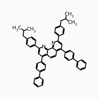 CC(C)Cc1ccc(-c2cc(-c3ccc(-c4ccccc4)cc3)c3ccc4c(-c5ccc(-c6ccccc6)cc5)cc(-c5ccc(CC(C)C)cc5)nc4c3n2)cc1